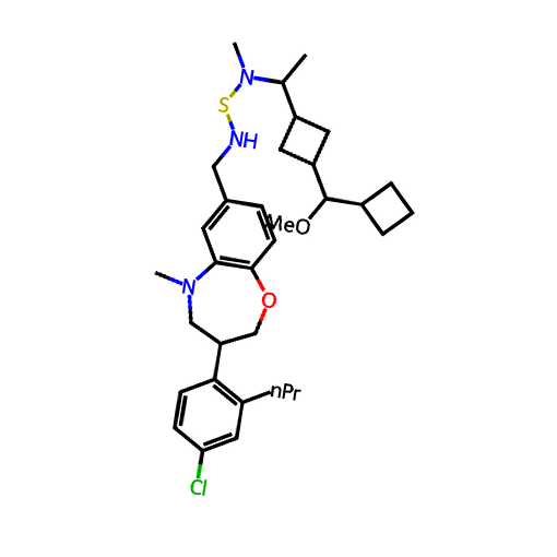 CCCc1cc(Cl)ccc1C1COc2ccc(CNSN(C)C(C)C3CC(C(OC)C4CCC4)C3)cc2N(C)C1